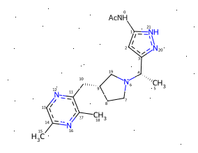 CC(=O)Nc1cc([C@H](C)N2CC[C@H](Cc3ncc(C)nc3C)C2)n[nH]1